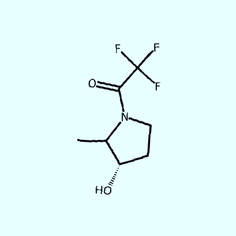 CC1[C@@H](O)CCN1C(=O)C(F)(F)F